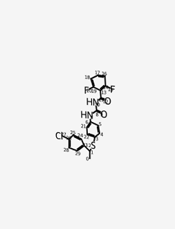 CC(Sc1ccc(NC(=O)NC(=O)c2c(F)cccc2F)cc1)c1ccc(Cl)cc1